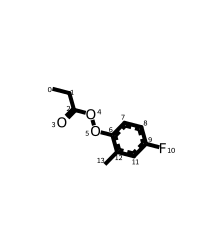 CCC(=O)OOc1ccc(F)cc1C